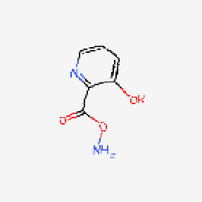 NOC(=O)c1ncccc1O